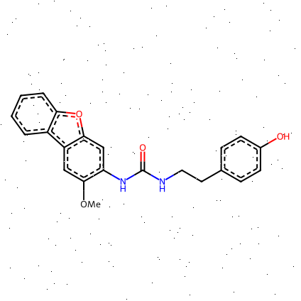 COc1cc2c(cc1NC(=O)NCCc1ccc(O)cc1)oc1ccccc12